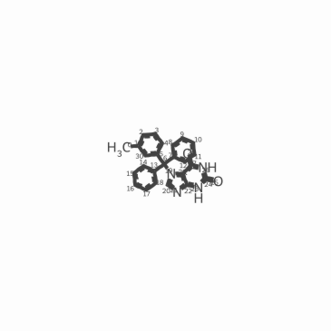 Cc1cccc(C(c2ccccc2)(c2ccccc2)n2cnc3[nH]c(=O)[nH]c(=O)c32)c1